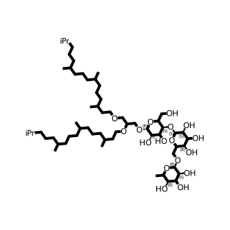 CC(C)CCCC(C)CCCC(C)CCCC(C)CCOCC(CO[C@@H]1OC(CO)[C@@H](O[C@@H]2OC(CO[C@@H]3OC(C)[C@H](O)C(O)[C@@H]3O)[C@H](O)C(O)[C@@H]2O)C(O)[C@@H]1O)OCCC(C)CCCC(C)CCCC(C)CCCC(C)C